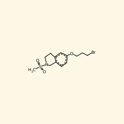 CS(=O)(=O)N1CCc2cc(OCCCBr)ccc2C1